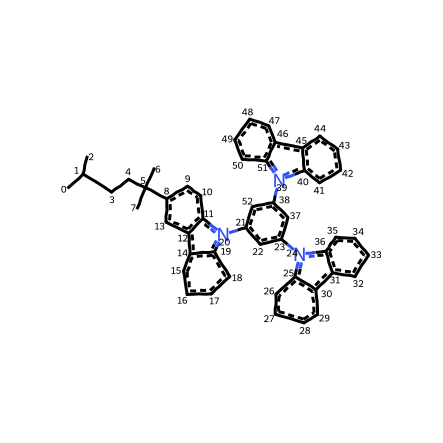 CC(C)CCC(C)(C)c1ccc2c(c1)c1ccccc1n2-c1cc(-n2c3ccccc3c3ccccc32)cc(-n2c3ccccc3c3ccccc32)c1